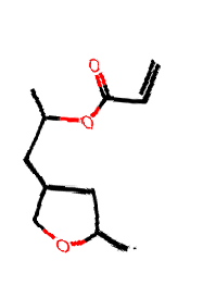 [CH2]C1CC(CC(C)OC(=O)C=C)CO1